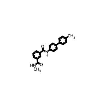 CNC(=O)c1cccc(C(=O)Nc2ccc(-c3ccc(C)cc3)cc2)c1